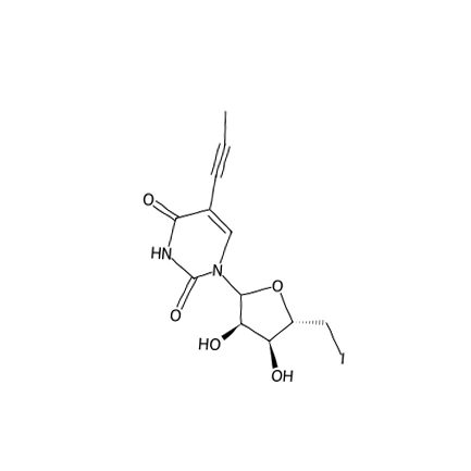 CC#Cc1cn(C2O[C@H](CI)[C@@H](O)[C@H]2O)c(=O)[nH]c1=O